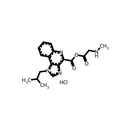 CNCC(=O)OC(=O)c1nc2ccccc2c2c1ncn2CC(C)C.Cl